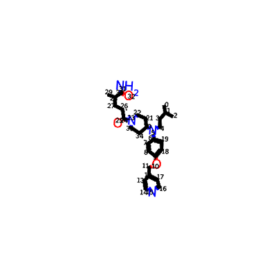 CC(C)CCN(c1ccc(OCc2ccncc2)cc1)C1CCN(C(=O)[CH]CC(C)C(N)=O)CC1